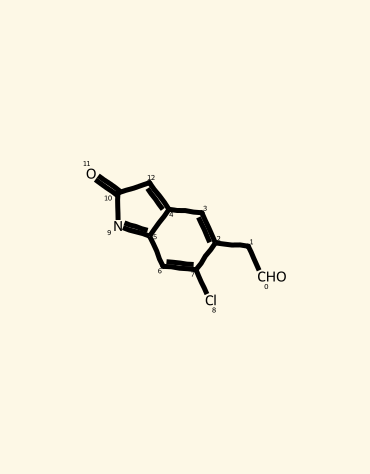 O=CCc1cc2c(cc1Cl)=NC(=O)C=2